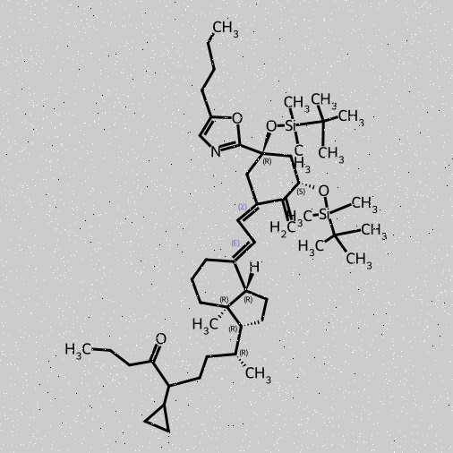 C=C1/C(=C\C=C2/CCC[C@]3(C)[C@@H]([C@H](C)CCC(C(=O)CCC)C4CC4)CC[C@@H]23)C[C@](O[Si](C)(C)C(C)(C)C)(c2ncc(CCCC)o2)C[C@@H]1O[Si](C)(C)C(C)(C)C